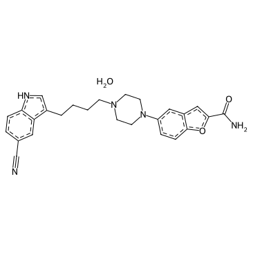 N#Cc1ccc2[nH]cc(CCCCN3CCN(c4ccc5oc(C(N)=O)cc5c4)CC3)c2c1.O